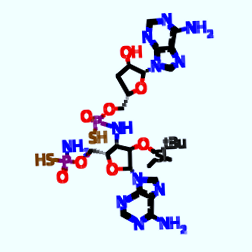 CC(C)(C)[Si](C)(C)O[C@@H]1[C@H](NP(=O)(S)OC[C@@H]2C[C@@H](O)[C@H](n3cnc4c(N)ncnc43)O2)[C@@H](COP(N)(=O)S)O[C@H]1n1cnc2c(N)ncnc21